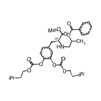 COC(=O)[C@H](Cc1ccc(OC(=O)OCCC(C)C)c(OC(=O)OCCC(C)C)c1)NCC(C)OC(=O)c1ccccc1